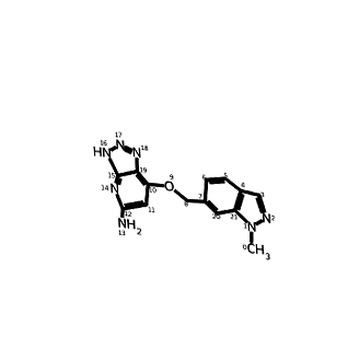 Cn1ncc2ccc(COc3cc(N)nc4[nH]nnc34)cc21